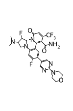 CN(C)C1CN(c2cc(F)c(-c3cnc(N4CCOCC4)nc3)cc2-c2c(C(N)=O)c(C(F)(F)F)cc(=O)n2C)CC1F